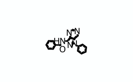 O=C(Nc1nn(-c2ccccc2)c2cncnc12)c1ccccc1